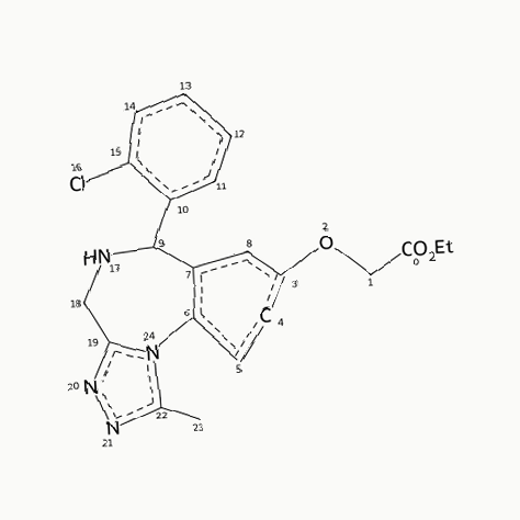 CCOC(=O)COc1ccc2c(c1)C(c1ccccc1Cl)NCc1nnc(C)n1-2